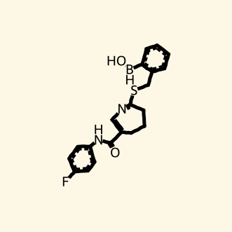 O=C(Nc1ccc(F)cc1)C1=CN=C(SCc2ccccc2BO)CCC1